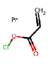 C=CC(=O)OCl.[Pr]